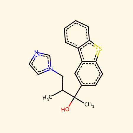 CC(Cn1ccnc1)C(C)(O)c1ccc2sc3ccccc3c2c1